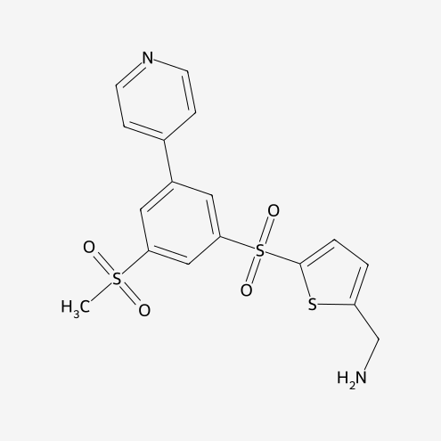 CS(=O)(=O)c1cc(-c2ccncc2)cc(S(=O)(=O)c2ccc(CN)s2)c1